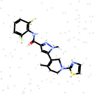 CC1=C(c2cc(C(=O)Nc3c(F)cccc3F)nn2C)CN(c2nccs2)CC1